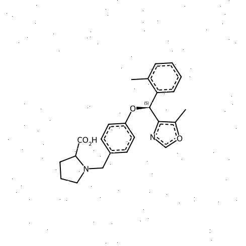 Cc1ccccc1[C@H](Oc1ccc(CN2CCCC2C(=O)O)cc1)c1ncoc1C